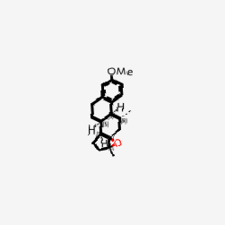 COc1ccc2c(c1)CC[C@H]1[C@@H]2[C@H](C)C[C@@]23O[C@]2(C)CC[C@@H]13